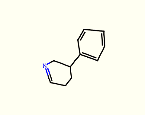 C1=NCC(c2ccccc2)CC1